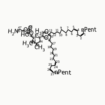 CCCCC/C=C\C/C=C\CCCCCCCCC1(CCCCCCCC/C=C\C/C=C\CCCCC)OC[C@@H](C(C)CC(C)N(C)CCOP(=O)(O)OCCN)O1